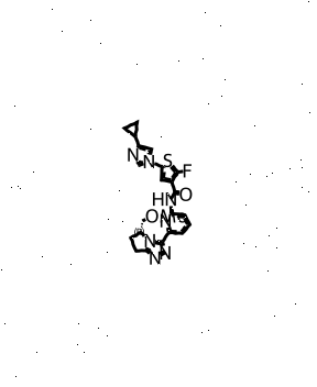 COC[C@H]1CCc2nnc(-c3cccc(NC(=O)c4cc(-n5cnc(C6CC6)c5)sc4F)n3)n21